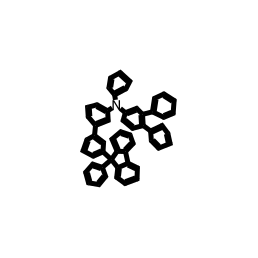 c1ccc(-c2ccc(N(c3ccccc3)c3cccc(-c4cccc(C5(c6ccccc6)c6ccccc6-c6ccccc65)c4)c3)cc2-c2ccccc2)cc1